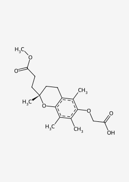 COC(=O)CC[C@]1(C)CCc2c(C)c(OCC(=O)O)c(C)c(C)c2O1